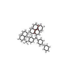 CC1(C)c2ccc(N(c3ccc(-c4ccccc4)cc3)c3ccc4ccccc4c3)cc2-c2c(-c3ccc4ccccc4c3)ccc3cccc1c23